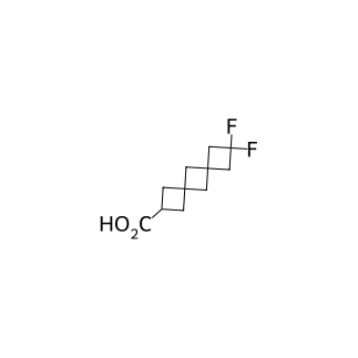 O=C(O)C1CC2(C1)CC1(CC(F)(F)C1)C2